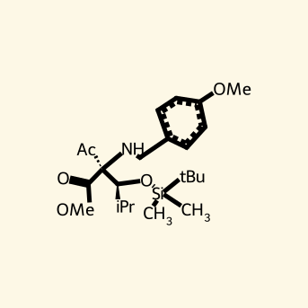 COC(=O)[C@](NCc1ccc(OC)cc1)(C(C)=O)[C@@H](O[Si](C)(C)C(C)(C)C)C(C)C